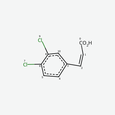 O=C(O)/C=C\c1ccc(Cl)c(Cl)c1